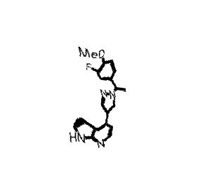 COc1ccc(C(C)N2CC(c3ccnc4[nH]ccc34)C=N2)cc1F